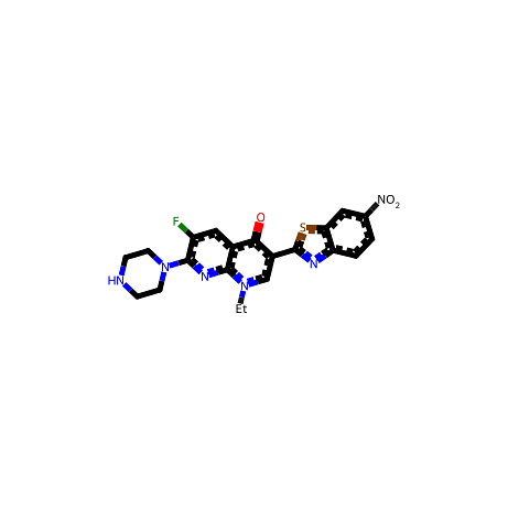 CCn1cc(-c2nc3ccc([N+](=O)[O-])cc3s2)c(=O)c2cc(F)c(N3CCNCC3)nc21